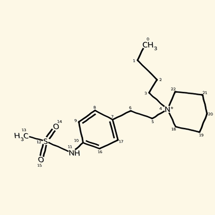 CCCC[N+]1(CCc2ccc(NS(C)(=O)=O)cc2)CCCCC1